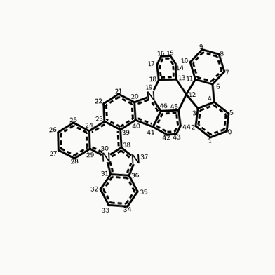 c1ccc2c(c1)-c1ccccc1C21c2ccccc2-n2c3ccc4c5ccccc5n5c6ccccc6nc5c4c3c3cccc1c32